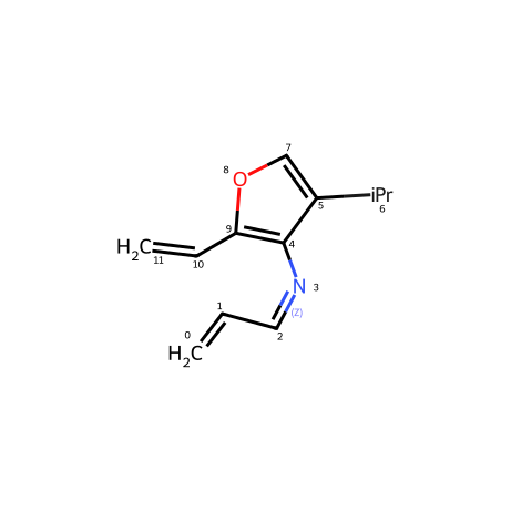 C=C/C=N\c1c(C(C)C)coc1C=C